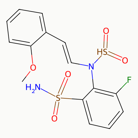 COc1ccccc1C=CN(c1c(F)cccc1S(N)(=O)=O)[SH](=O)=O